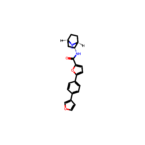 O=C(N[C@@H]1C[C@H]2CC[C@@H]1N2)c1ccc(-c2ccc(-c3ccoc3)cc2)o1